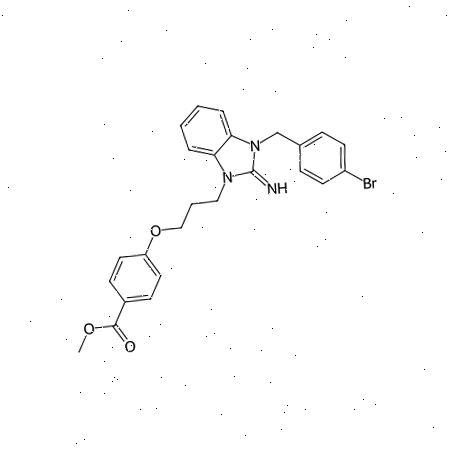 COC(=O)c1ccc(OCCCn2c(=N)n(Cc3ccc(Br)cc3)c3ccccc32)cc1